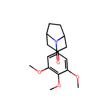 COc1cc(N2C3CCC2CC(=O)C3)cc(OC)c1OC